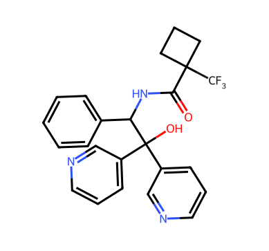 O=C(NC(c1ccccc1)C(O)(c1cccnc1)c1cccnc1)C1(C(F)(F)F)CCC1